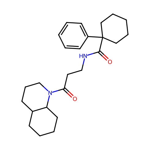 O=C(CCNC(=O)C1(c2ccccc2)CCCCC1)N1CCCC2CCCCC21